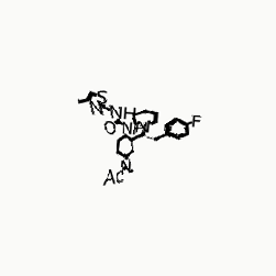 CC(=O)N(C)C1CC[C@@H](NC(=O)Nc2nc(C)cs2)[C@@H]([C@@H](Cc2ccc(F)cc2)N2CCCCC2)C1